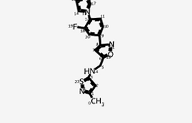 Cc1cc(NCc2cc(-c3ccc(-n4ccnc4)c(F)c3)no2)sn1